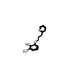 N#Cc1c(OCCCc2ccccn2)cccc1[N+](=O)[O-]